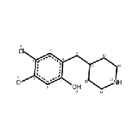 Oc1cc(Cl)c(Cl)cc1CC1CCNCC1